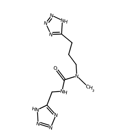 CN(CCCc1nnn[nH]1)C(=O)NCc1nnn[nH]1